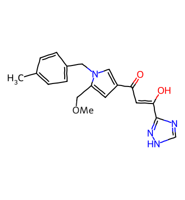 COCc1cc(C(=O)C=C(O)c2nc[nH]n2)cn1Cc1ccc(C)cc1